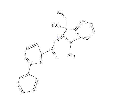 CC(=O)CC1(C)/C(=C/C(=O)c2cccc(-c3ccccc3)n2)N(C)c2ccccc21